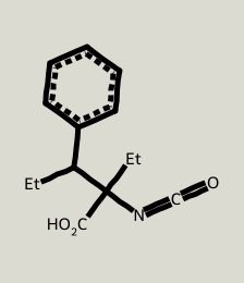 CCC(c1ccccc1)C(CC)(N=C=O)C(=O)O